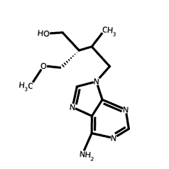 COC[C@H](CO)C(C)Cn1cnc2c(N)ncnc21